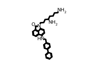 NCCCCC(N)CCCN1C(=O)c2cccc3c(NCc4ccc(-c5ccccc5)cc4)ccc1c23